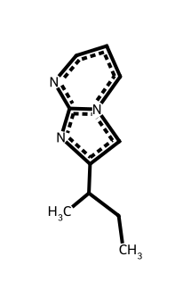 CCC(C)c1cn2cccnc2n1